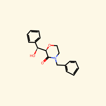 O=C1[C@@H]([C@@H](O)c2ccccc2)OCCN1Cc1ccccc1